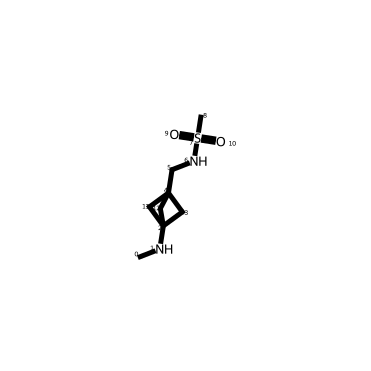 CNC12CC(CNS(C)(=O)=O)(C1)C2